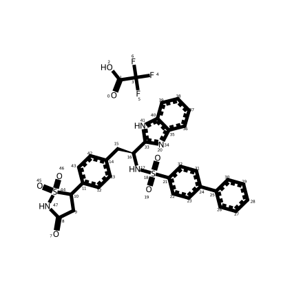 O=C(O)C(F)(F)F.O=C1CC(c2ccc(C[C@H](NS(=O)(=O)c3ccc(-c4ccccc4)cc3)c3nc4ccccc4[nH]3)cc2)S(=O)(=O)N1